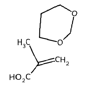 C1COCOC1.C=C(C)C(=O)O